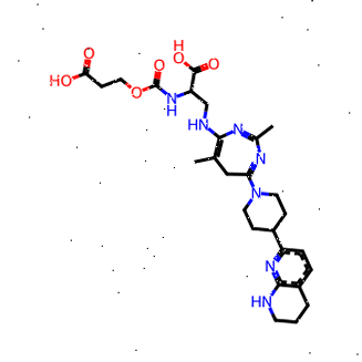 CC1=NC(NCC(NC(=O)OCCC(=O)O)C(=O)O)=C(C)CC(N2CCC(c3ccc4c(n3)NCCC4)CC2)=N1